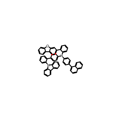 c1ccc(N(c2ccc(-c3ccccc3-n3c4ccccc4c4ccccc43)cc2)c2ccc(-c3cccc4ccccc34)cc2)c(-c2ccc3c(c2)oc2ccccc23)c1